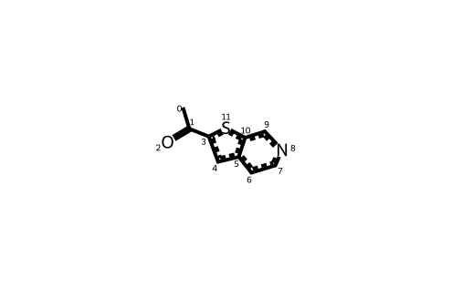 CC(=O)c1cc2ccncc2s1